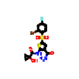 NC(=O)c1cc(S(=O)(=O)c2ccc(F)cc2Br)sc1NC(=O)C1(O)CC1